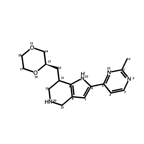 Cc1nccc(-c2cc3c([nH]2)C(C[C@@H]2COCCO2)CNC3)n1